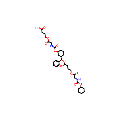 O=C(O)CCCOC(=O)CNC(=O)OC1CCC[C@@H](C(OC(O)CCCOC(=O)CNC(=O)OC2CCCCC2)c2ccccc2)C1